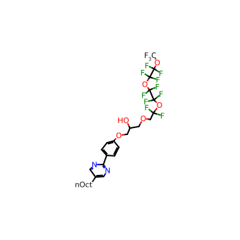 CCCCCCCCc1cnc(-c2ccc(OCC(O)COCC(F)(F)OC(F)(F)C(F)(F)OC(F)(F)C(F)(F)OC(F)(F)F)cc2)nc1